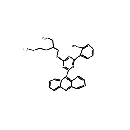 CCCCC(CC)COc1nc(-c2ccccc2O)nc(-c2c3ccccc3cc3ccccc23)n1